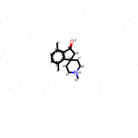 Cc1ccc(C)c2c1C(=O)CC21CCN(C)CC1